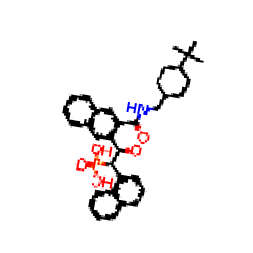 CC(C)(C)C1CCC(CNC(=O)c2cc3ccccc3cc2C(=O)C(c2cccc3ccccc23)P(=O)(O)O)CC1